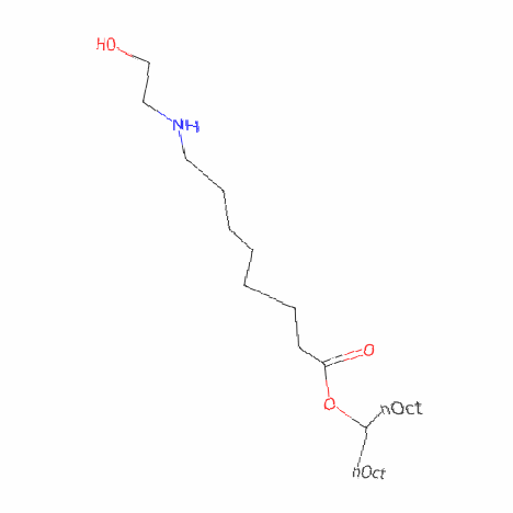 CCCCCCCCC(CCCCCCCC)OC(=O)CCCCCCCNCCO